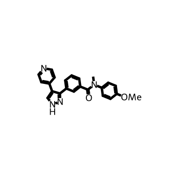 COc1ccc(N(C)C(=O)c2cccc(-c3n[nH]cc3-c3ccncc3)c2)cc1